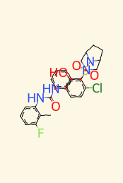 Cc1c(F)cccc1NC(=O)Nc1ccc(Cl)c(S(=O)(=O)N2C3CCC2CN(Cc2ccccc2)C3)c1O